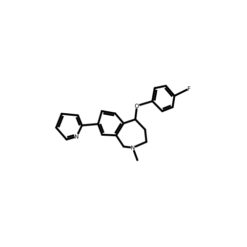 CN1CCC(Oc2ccc(F)cc2)c2ccc(-c3ccccn3)cc2C1